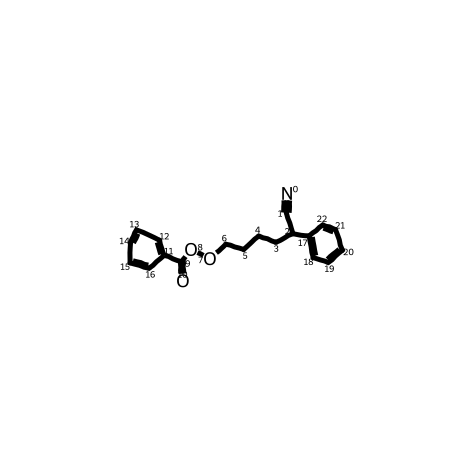 N#CC(CCCCOOC(=O)c1ccccc1)c1ccccc1